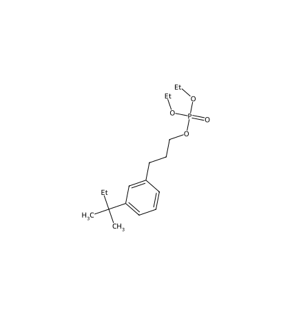 CCOP(=O)(OCC)OCCCc1cccc(C(C)(C)CC)c1